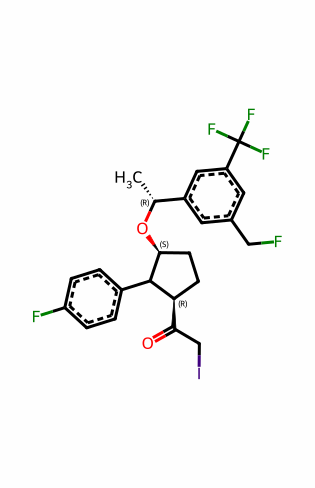 C[C@@H](O[C@H]1CC[C@@H](C(=O)CI)C1c1ccc(F)cc1)c1cc(CF)cc(C(F)(F)F)c1